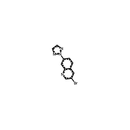 Brc1cnc2cc(-n3nccn3)ccc2c1